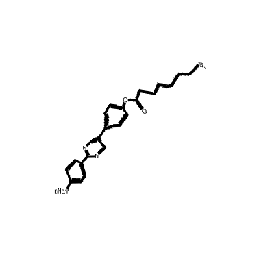 CCCCCCCCCc1ccc(-c2ncc(-c3ccc(OC(=O)CCCCCCC(C)CC)cc3)cn2)cc1